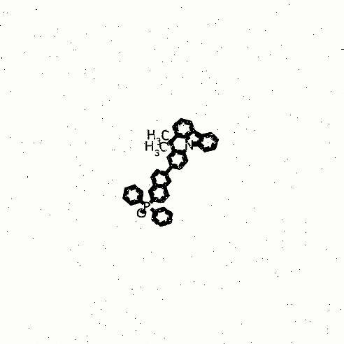 CC1(C)c2cc(-c3ccc4cc(P(=O)(c5ccccc5)c5ccccc5)ccc4c3)ccc2-n2c3ccccc3c3cccc1c32